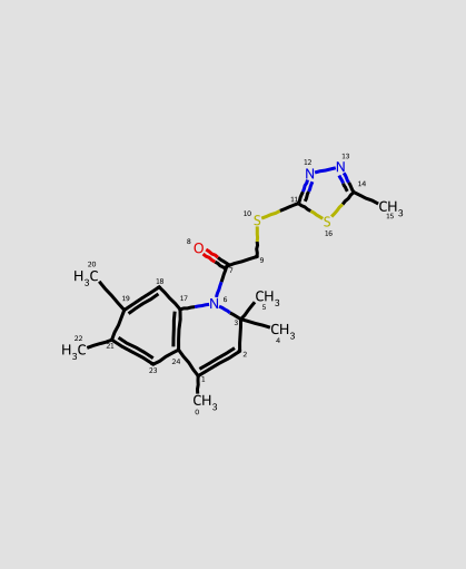 CC1=CC(C)(C)N(C(=O)CSc2nnc(C)s2)c2cc(C)c(C)cc21